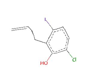 C=CCc1c(I)ccc(Cl)c1O